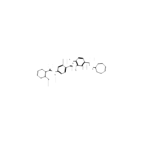 O=C(NC1CCCCCC1)c1ccc2[nH]c(-c3ccc(NC(=O)C4CCCCC4CI)cc3)nc2c1